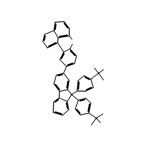 CC(C)(C)c1ccc(C2(c3ccc(C(C)(C)C)cc3)c3ccccc3-c3ccc(-c4ccc5c(c4)-c4cccc6cccc(c46)S5)cc32)cc1